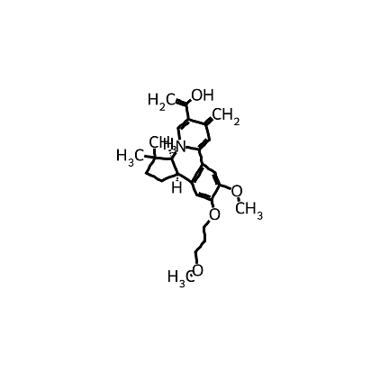 C=C(O)C1=CN2C(=CC1=C)c1cc(OC)c(OCCCOC)cc1[C@H]1CCC(C)(C)[C@H]12